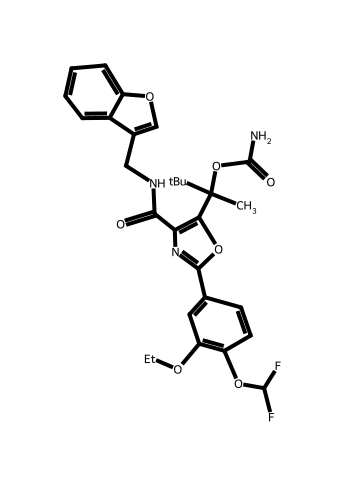 CCOc1cc(-c2nc(C(=O)NCc3coc4ccccc34)c(C(C)(OC(N)=O)C(C)(C)C)o2)ccc1OC(F)F